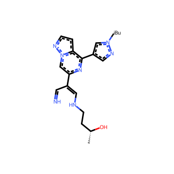 CCC(C)n1cc(-c2nc(/C(C=N)=C/NCC[C@@H](C)O)cn3nccc23)cn1